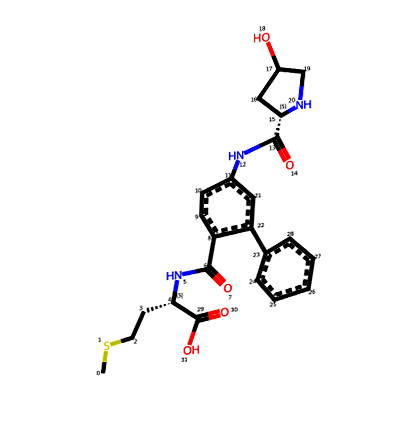 CSCC[C@H](NC(=O)c1ccc(NC(=O)[C@@H]2CC(O)CN2)cc1-c1ccccc1)C(=O)O